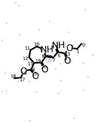 CCOC(=O)C(=N)/C=C1\NCCCC(C(=O)OCC)C1=O